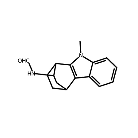 Cn1c2c(c3ccccc31)C1CCC2C(NC=O)C1